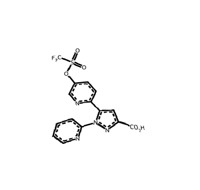 O=C(O)c1cc(-c2ccc(OS(=O)(=O)C(F)(F)F)cn2)n(-c2ccccn2)n1